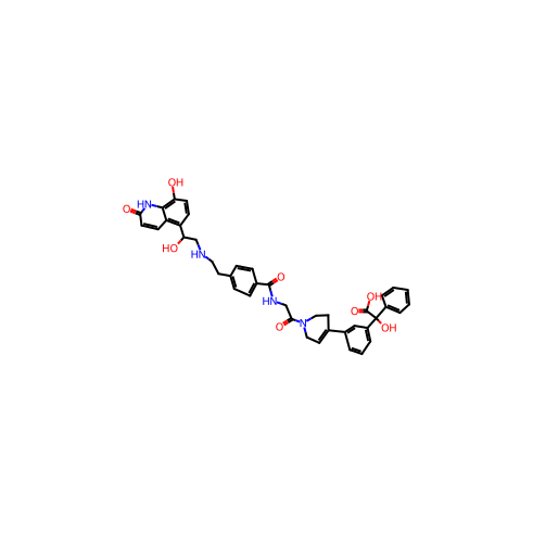 O=C(NCC(=O)N1CC=C(c2cccc(C(O)(C(=O)O)c3ccccc3)c2)CC1)c1ccc(CCNCC(O)c2ccc(O)c3[nH]c(=O)ccc23)cc1